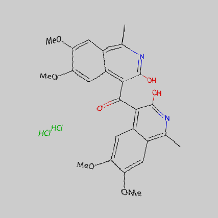 COc1cc2c(C)nc(O)c(C(=O)c3c(O)nc(C)c4cc(OC)c(OC)cc34)c2cc1OC.Cl.Cl